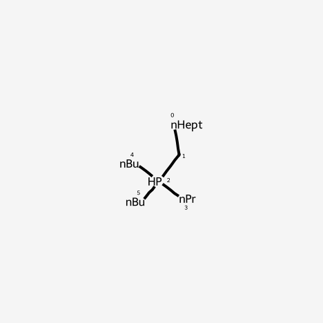 CCCCCCCC[PH](CCC)(CCCC)CCCC